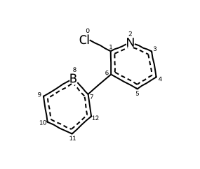 Clc1ncccc1-c1bcccc1